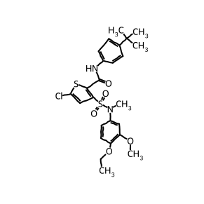 CCOc1ccc(N(C)S(=O)(=O)c2cc(Cl)sc2C(=O)Nc2ccc(C(C)(C)C)cc2)cc1OC